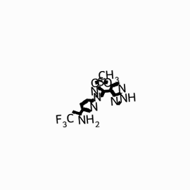 CS(=O)(=O)c1nn(-c2ccc(C(N)CC(F)(F)F)cn2)cc1-c1ccnc2[nH]cnc12